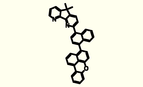 CC1(C)c2cccnc2-c2nc(-c3ccc(-c4ccc5c6c(cccc46)-c4ccccc4O5)c4ccccc34)ccc21